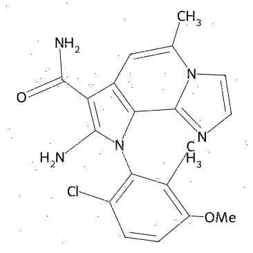 COc1ccc(Cl)c(-n2c(N)c(C(N)=O)c3cc(C)n4ccnc4c32)c1C